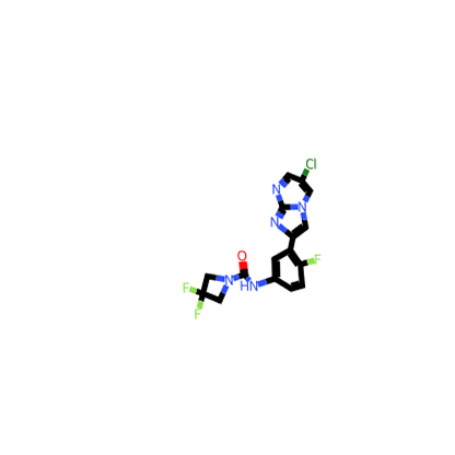 O=C(Nc1ccc(F)c(-c2cn3cc(Cl)cnc3n2)c1)N1CC(F)(F)C1